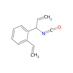 C=Cc1ccccc1C(C=C)N=C=O